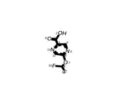 O=C(O)c1cnc(OC(F)F)cn1